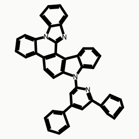 c1ccc(-c2cc(-c3ccccc3)nc(-n3c4ccccc4c4c5c(ccc43)c3ccccc3n3c4ccccc4nc53)c2)cc1